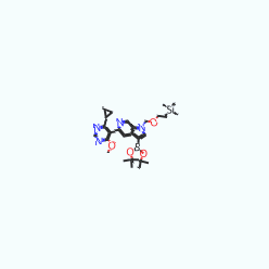 COc1ncnc(C2CC2)c1-c1cc2c(B3OC(C)(C)C(C)(C)O3)cn(COCC[Si](C)(C)C)c2cn1